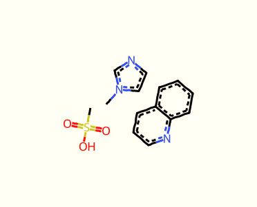 CS(=O)(=O)O.Cn1ccnc1.c1ccc2ncccc2c1